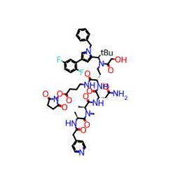 C[C@H](NC(=O)Cc1ccncc1)C(=O)N(C)[C@@H](C)C(=O)N[C@@H](CC(N)=O)C(=O)N[C@@H](CCN(C(=O)CO)[C@@H](c1cc(-c2cc(F)ccc2F)cn1Cc1ccccc1)C(C)(C)C)C(=O)NCCCC(=O)ON1C(=O)CCC1=O